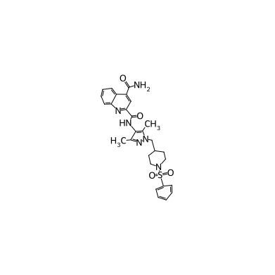 Cc1nn(CC2CCN(S(=O)(=O)c3ccccc3)CC2)c(C)c1NC(=O)c1cc(C(N)=O)c2ccccc2n1